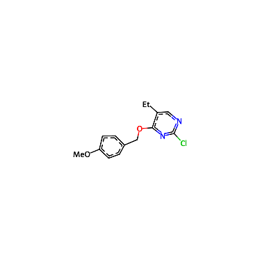 CCc1cnc(Cl)nc1OCc1ccc(OC)cc1